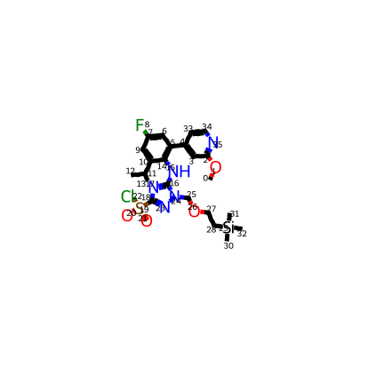 COc1cc(-c2cc(F)cc(C(C)C)c2Nc2nc(S(=O)(=O)Cl)nn2COCC[Si](C)(C)C)ccn1